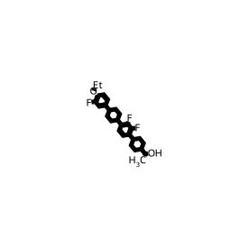 CCOc1ccc(C2CCC(c3ccc(C4CCC(C(C)O)CC4)c(F)c3F)CC2)cc1F